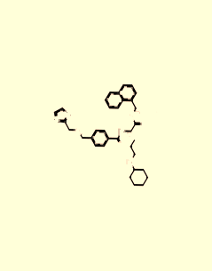 C[C@H](NC(=O)[C@H](CCCNC1CCCCC1)NC(=O)c1ccc(CNCc2ncc[nH]2)cc1)c1cccc2ccccc12